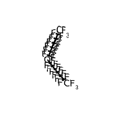 FC(F)(F)C(F)(F)C(F)(F)C(F)(F)C(F)(F)C(F)(F)C(F)(F)OC(F)(F)C(F)(F)C(F)(F)C(F)(F)C(F)(F)C(F)(F)C(F)(F)F